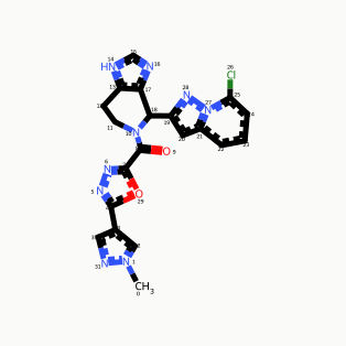 Cn1cc(-c2nnc(C(=O)N3CCc4[nH]cnc4C3c3cc4cccc(Cl)n4n3)o2)cn1